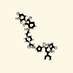 CCC(CC)C1CC(N[C@H]2CC[C@H](NCC(=O)N3CCN(CCNc4cccc5c4C(=O)N(C4CCC(=O)NC4=O)C5=O)CC3)C2)N2NCC(Cl)C2N1